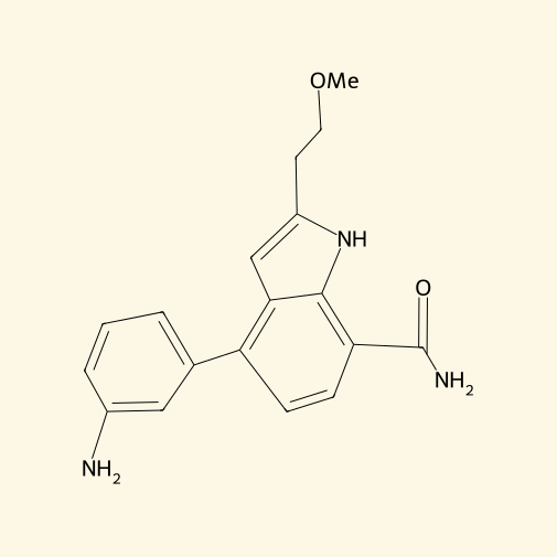 COCCc1cc2c(-c3cccc(N)c3)ccc(C(N)=O)c2[nH]1